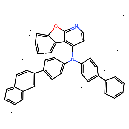 c1ccc(-c2ccc(N(c3ccc(-c4ccc5ccccc5c4)cc3)c3ccnc4oc5ccccc5c34)cc2)cc1